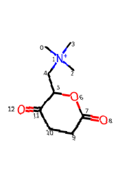 C[N+](C)(C)CC1OC(=O)CCC1=O